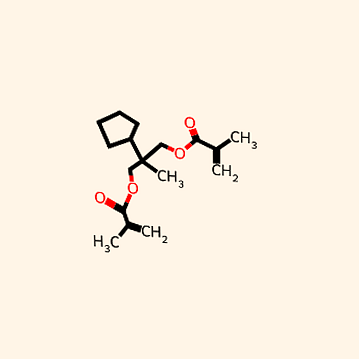 C=C(C)C(=O)OCC(C)(COC(=O)C(=C)C)C1CCCC1